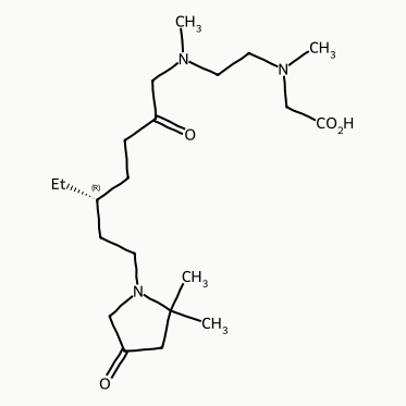 CC[C@H](CCC(=O)CN(C)CCN(C)CC(=O)O)CCN1CC(=O)CC1(C)C